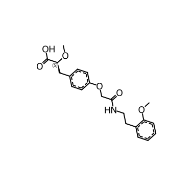 COc1ccccc1CCNC(=O)COc1ccc(C[C@H](OC)C(=O)O)cc1